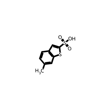 Cc1ccc2cc(S(=O)(=O)O)sc2c1